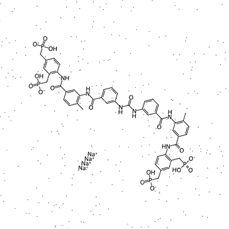 Cc1ccc(C(=O)Nc2ccc(CP(=O)([O-])O)cc2CP(=O)([O-])O)cc1NC(=O)c1cccc(NC(=O)Nc2cccc(C(=O)Nc3cc(C(=O)Nc4ccc(CP(=O)([O-])O)cc4CP(=O)([O-])O)ccc3C)c2)c1.[Na+].[Na+].[Na+].[Na+]